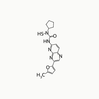 Cc1ccc(-c2cnc3ccc(NC(=O)N(S)C4CCCC4)nc3n2)o1